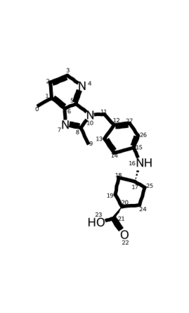 Cc1ccnc2c1nc(C)n2Cc1ccc(N[C@H]2CC[C@H](C(=O)O)CC2)cc1